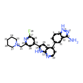 Nc1n[nH]c2ccc(-c3ccnc4[nH]c(-c5cc(F)nc(CN6CCCCC6)c5)cc34)cc12